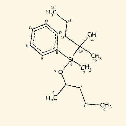 CCCC(C)O[Si](C)(c1ccccc1)C(C)(O)CCC